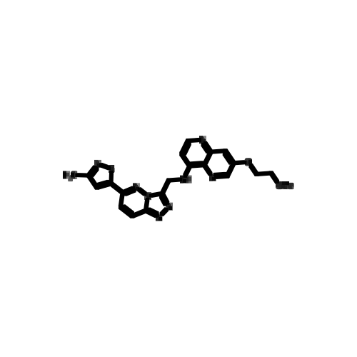 COCCOc1cnc2c(NCc3nnc4ccc(-c5cc(C)ns5)nn34)ccnc2c1